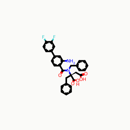 Nc1cc(-c2ccc(F)c(F)c2)ccc1C(=O)N(Cc1ccccc1)[C@@](CC(=O)O)(Cc1ccccc1)C(=O)O